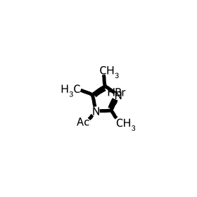 Br.CC(=O)n1c(C)nc(C)c1C